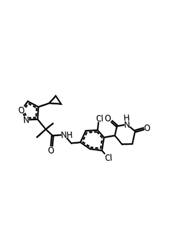 CC(C)(C(=O)NCc1cc(Cl)c(C2CCC(=O)NC2=O)c(Cl)c1)c1nocc1C1CC1